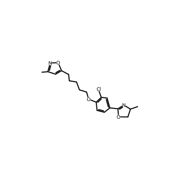 Cc1cc(CCCCCOc2ccc(C3=NC(C)CO3)cc2Cl)on1